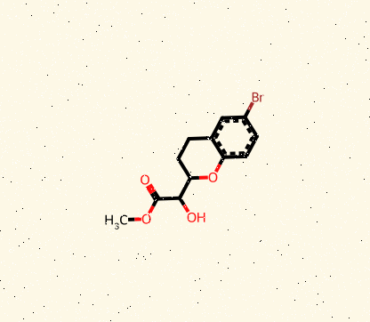 COC(=O)C(O)C1CCc2cc(Br)ccc2O1